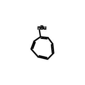 CCCCC1=CC=CC=CC=C1